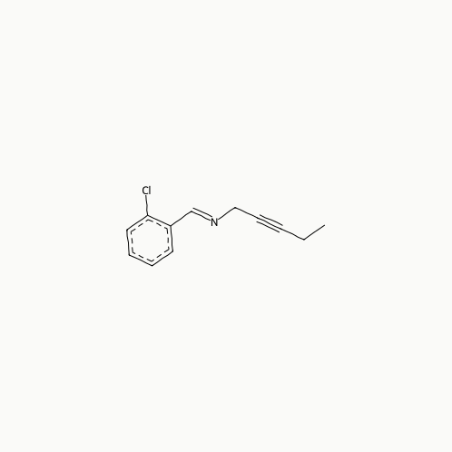 CCC#CC/N=C/c1ccccc1Cl